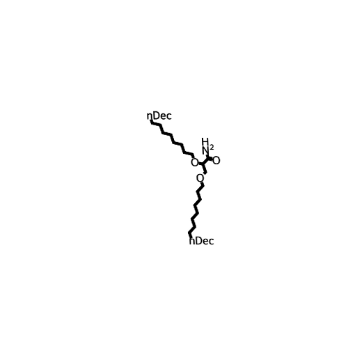 CCCCCCCCCCCCCCCCCCOCC(OCCCCCCCCCCCCCCCCCC)C(N)=O